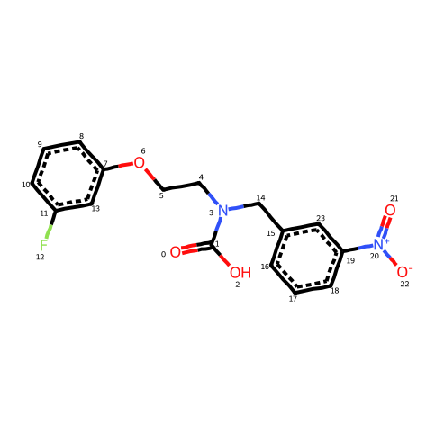 O=C(O)N(CCOc1cccc(F)c1)Cc1cccc([N+](=O)[O-])c1